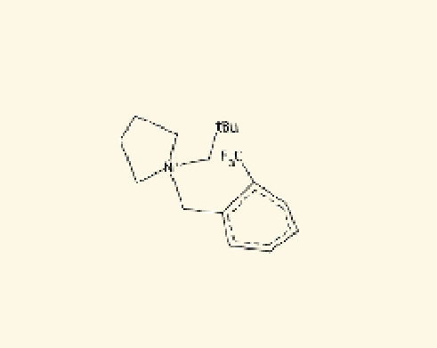 CC(C)(C)C[N+]1(Cc2ccccc2C(F)(F)F)CCCC1